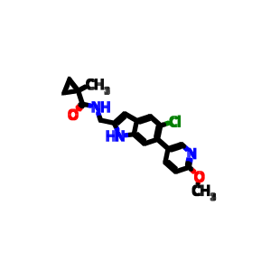 COc1ccc(-c2cc3[nH]c(CNC(=O)C4(C)CC4)cc3cc2Cl)cn1